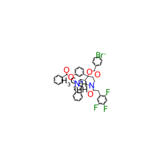 [2H]C([2H])([2H])[N+](C)(Cc1ccccc1)C[C@@H]1CN(C(=O)Cc2cc(F)c(F)cc2F)CC[C@@]1(OC(=O)c1ccccc1)c1cccc(OC(=O)c2ccccc2)c1.[Br-]